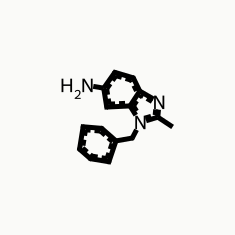 Cc1nc2ccc(N)cc2n1Cc1ccccc1